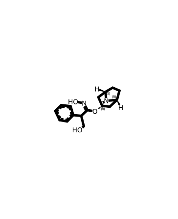 CN1[C@@H]2CC[C@H]1C[C@@H](OC(=NO)C(CO)c1ccccc1)C2